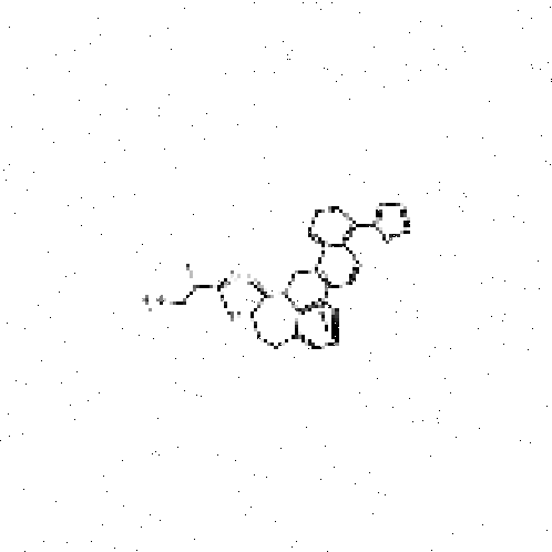 COc1ccc2c(-c3ccco3)cccc2c1CN1C(=O)[C@@H](NC(=O)[C@@H](C)CN)CCc2ccccc21